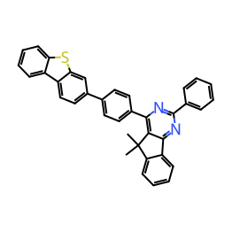 CC1(C)c2ccccc2-c2nc(-c3ccccc3)nc(-c3ccc(-c4ccc5c(c4)sc4ccccc45)cc3)c21